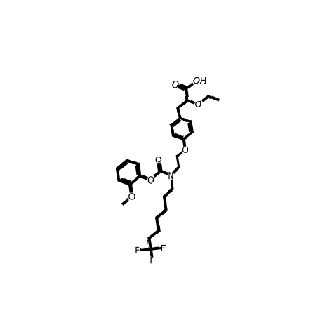 CCOC(Cc1ccc(OCCN(CCCCCCC(F)(F)F)C(=O)Oc2ccccc2OC)cc1)C(=O)O